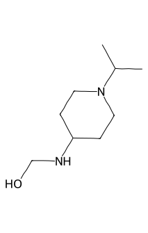 CC(C)N1CCC(NCO)CC1